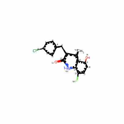 Cc1c(Cc2ccc(Cl)cc2)c(=O)[nH]c2c(F)ccc(O)c12